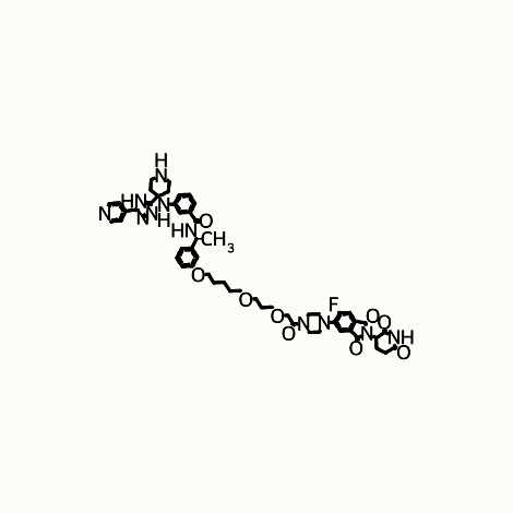 C[C@@H](NC(=O)c1cccc(NC2(c3nnc(-c4ccncc4)[nH]3)CCNCC2)c1)c1cccc(OCCCCCOCCCOCC(=O)N2CCN(c3cc4c(cc3F)C(=O)N(C3CCC(=O)NC3=O)C4=O)CC2)c1